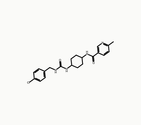 Cc1ccc(C(=O)NC2CCC(NC(=O)NCc3ccc(Cl)cc3)CC2)cn1